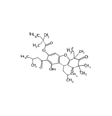 CC(C)CC(=O)c1c(OC(=O)C(C)(C)C)cc2c(c1O)C(CC(C)C)C1=C(O2)C(C)(C)C(=O)C(C)(C)C1=O